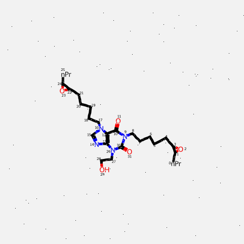 CCCC1OC1CCCCCn1c(=O)c2c(ncn2CCCCCC2OC2CCC)n(CCO)c1=O